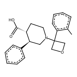 Cc1ccccc1C1(N2CC[C@@H](C(=O)O)[C@H](c3ccccc3)C2)COC1